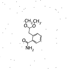 COC(Cc1ccccc1C(N)=O)OC